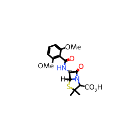 COc1cccc(OC)c1C(=O)N[C@@H]1C(=O)N2C(C(=O)O)C(C)(C)S[C@H]12